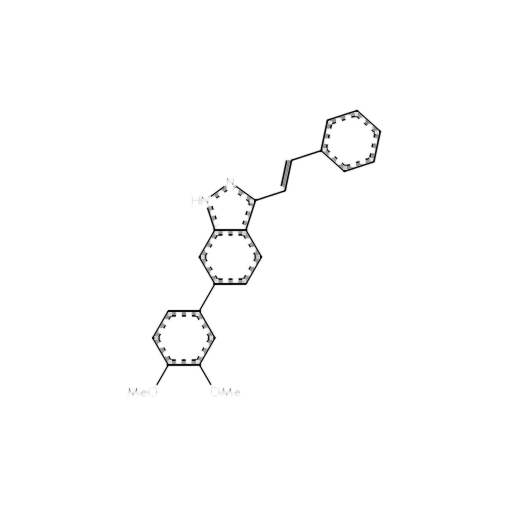 COc1ccc(-c2ccc3c(/C=C/c4ccccc4)n[nH]c3c2)cc1OC